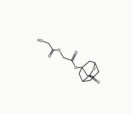 O=C(CO)OCC(=O)OC12CC3CC(C1)OC(=O)C(C3)C2